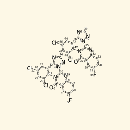 O=c1c2cc(F)ccc2nc(-n2cncn2)n1-c1ccc(Cl)cc1Cl.O=c1c2cc(F)ccc2nc(-n2cncn2)n1-c1ccc(Cl)cc1Cl